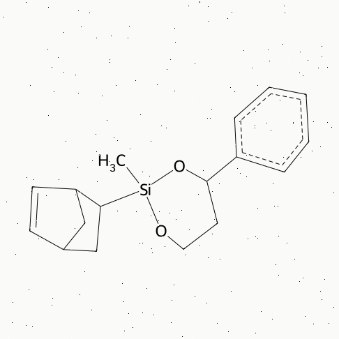 C[Si]1(C2CC3C=CC2C3)OCCC(c2ccccc2)O1